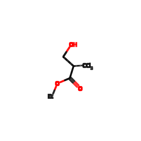 CCOC(=O)C(CO)C(Cl)(Cl)Cl